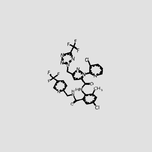 Cc1cc(Cl)cc(C(=O)NCc2ccc(C(F)(F)F)cn2)c1NC(=O)c1cc(Cn2nnc(C(F)(F)F)n2)nn1-c1ncccc1Cl